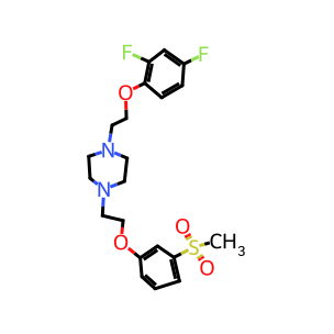 CS(=O)(=O)c1cccc(OCCN2CCN(CCOc3ccc(F)cc3F)CC2)c1